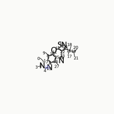 CCN(C)/C=N\c1cc(C)c(Oc2snc(C(C)(C)C(C)C)c2C#N)cc1C